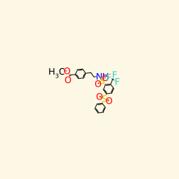 COC(=O)c1ccc(CCNS(=O)(=O)c2cc(S(=O)(=O)c3ccccc3)ccc2C(F)(F)F)cc1